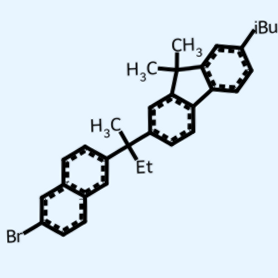 CCC(C)c1ccc2c(c1)C(C)(C)c1cc(C(C)(CC)c3ccc4cc(Br)ccc4c3)ccc1-2